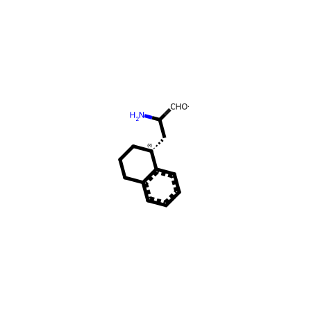 NC([C]=O)C[C@H]1CCCc2ccccc21